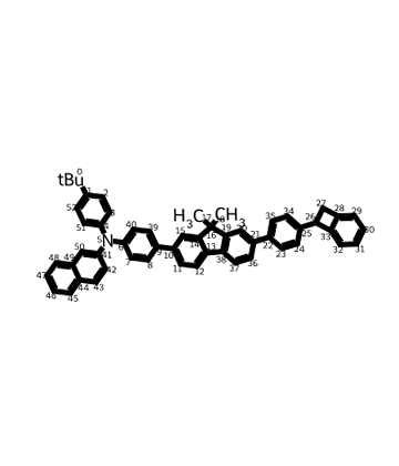 CC(C)(C)c1ccc(N(c2ccc(-c3ccc4c(c3)C(C)(C)c3cc(-c5ccc(C6Cc7ccccc76)cc5)ccc3-4)cc2)c2ccc3ccccc3c2)cc1